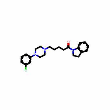 O=C(CCCCN1CCN(c2cccc(Cl)c2)CC1)N1CCc2ccccc21